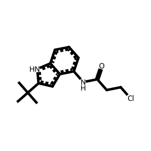 CC(C)(C)c1cc2c(NC(=O)CCCl)cccc2[nH]1